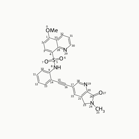 COc1ccc(S(=O)(=O)Nc2ccccc2C#Cc2cnc3c(c2)CN(C)C3=O)c2ncccc12